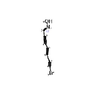 O/N=C/C#CC#CC#CBr